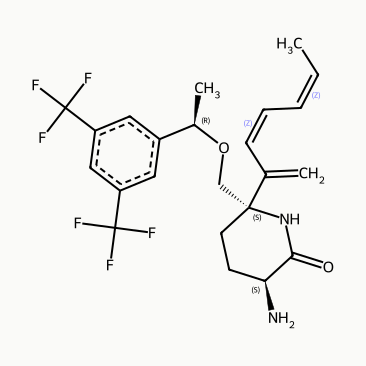 C=C(/C=C\C=C/C)[C@]1(CO[C@H](C)c2cc(C(F)(F)F)cc(C(F)(F)F)c2)CC[C@H](N)C(=O)N1